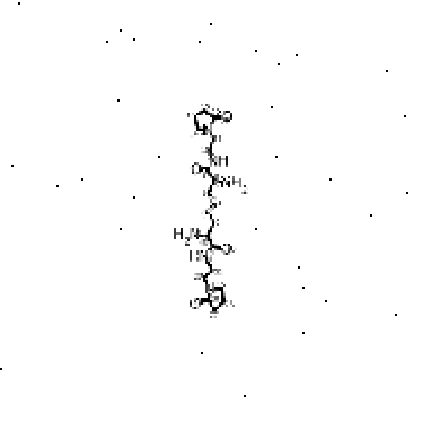 N[C@@H](CSSC[C@H](N)C(=O)NCCN1CCCC1=O)C(=O)NCCN1CCCC1=O